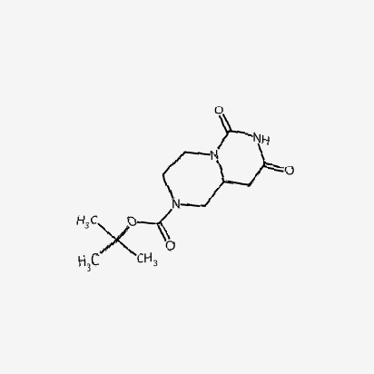 CC(C)(C)OC(=O)N1CCN2C(=O)NC(=O)CC2C1